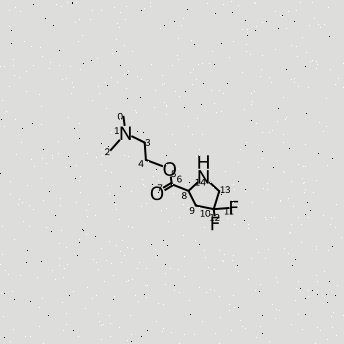 CN(C)CCOC(=O)C1CC(F)(F)CN1